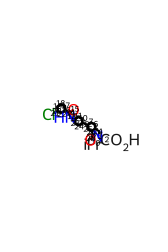 CC(C)[C@@H](C(=O)O)N1Cc2ccc(-c3ccc(NC(=O)c4cccc(Cl)c4)cc3)cc2C1=O